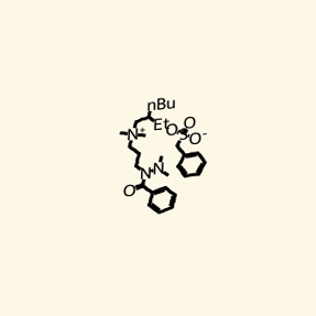 CCCCC(CC)C[N+](C)(C)CCCN(C(=O)c1ccccc1)N(C)C.O=S(=O)([O-])Cc1ccccc1